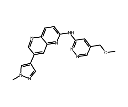 COCc1cnnc(Nc2ccc3ncc(-c4cnn(C)c4)cc3n2)c1